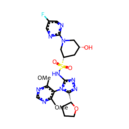 COc1ncnc(OC)c1-n1c(NS(=O)(=O)[C@H]2C[C@@H](O)CN(c3ncc(F)cn3)C2)nnc1[C@H]1CCCO1